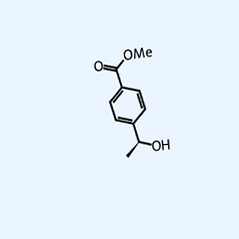 COC(=O)c1ccc([C@H](C)O)cc1